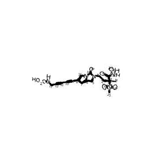 C[C@@](CCN1Cc2cc(C#CC#CCNC(=O)O)cn2C1=O)(C(=O)NO)S(C)(=O)=O